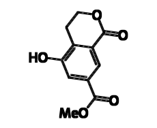 COC(=O)c1cc(O)c2c(c1)C(=O)OCC2